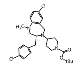 CN1C[C@H](Cc2ccc(Cl)cc2)N(C2CCN(C(=O)OC(C)(C)C)CC2)Cc2cc(Cl)ccc21